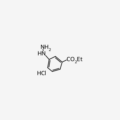 CCOC(=O)c1cccc(NN)c1.Cl